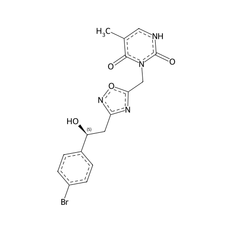 Cc1c[nH]c(=O)n(Cc2nc(C[C@H](O)c3ccc(Br)cc3)no2)c1=O